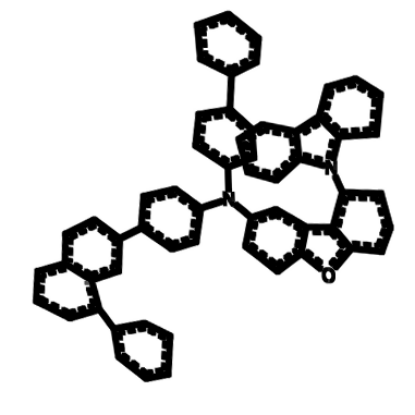 c1ccc(-c2ccc(N(c3ccc(-c4ccc5cccc(-c6ccccc6)c5c4)cc3)c3ccc4oc5cccc(-n6c7ccccc7c7ccccc76)c5c4c3)cc2)cc1